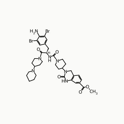 COC(=O)c1ccc2c(c1)NC(=O)N(C1CCN(C(=O)N[C@H](Cc3cc(Br)c(N)c(Br)c3)C(=O)N3CCC(N4CCCCC4)CC3)CC1)C2